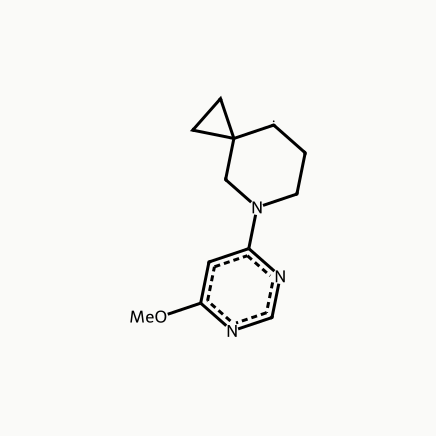 COc1cc(N2CC[CH]C3(CC3)C2)ncn1